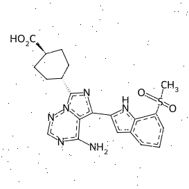 CS(=O)(=O)c1cccc2cc(-c3nc([C@H]4CC[C@H](C(=O)O)CC4)n4ncnc(N)c34)[nH]c12